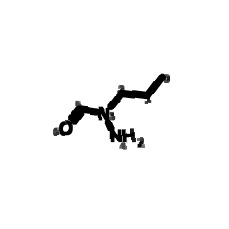 [CH2]CCN(N)C=O